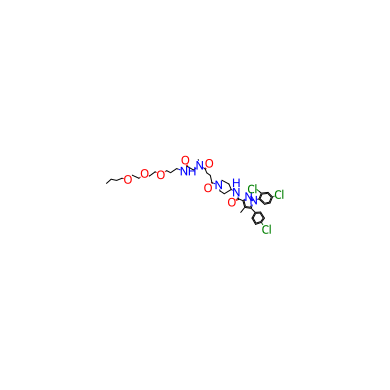 CCCCOCCOCCOCCCNC(=O)CN(C)C(=O)CCC(=O)N1CCC(NC(=O)c2nn(-c3ccc(Cl)cc3Cl)c(-c3ccc(Cl)cc3)c2C)CC1